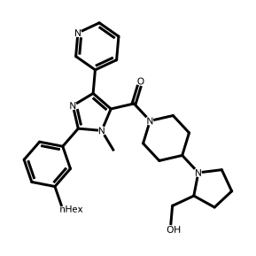 CCCCCCc1cccc(-c2nc(-c3cccnc3)c(C(=O)N3CCC(N4CCCC4CO)CC3)n2C)c1